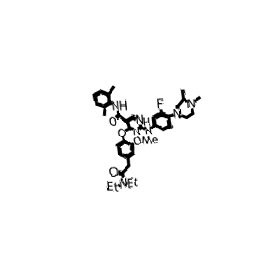 CCN(CC)C(=O)Cc1ccc(Oc2nc(Nc3ccc(N4CCN(C)C(C)C4)c(F)c3)ncc2C(=O)Nc2c(C)cccc2C)c(OC)c1